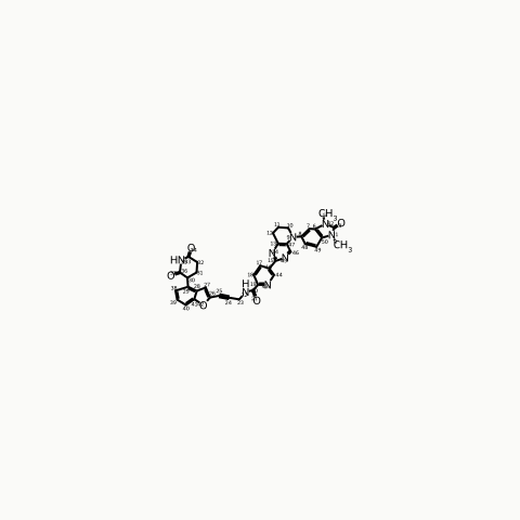 Cn1c(=O)n(C)c2cc(N3CCCc4nc(-c5ccc(C(=O)NCC#Cc6cc7c(C8CCC(=O)NC8=O)cccc7o6)nc5)ncc43)ccc21